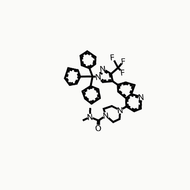 CN(C)C(=O)N1CCN(c2ccnc3ccc(-c4cn(C(c5ccccc5)(c5ccccc5)c5ccccc5)nc4C(F)(F)F)cc23)CC1